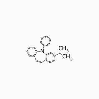 CC(C)c1ccc2c(c1)N(c1ccccc1)c1ccccc1C=C2